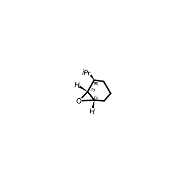 CC(C)[C@H]1CCC[C@@H]2O[C@@H]21